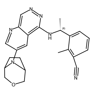 Cc1c(C#N)cccc1[C@@H](C)Nc1nncc2ncc(N3C4CCC3COC4)cc12